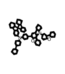 c1ccc(-c2ccc(N(c3ccc(-c4cc5c6ccccc6n(-c6ccc7oc8ccccc8c7c6)c5c5c4oc4ccccc45)cc3)c3ccc4c(c3)C3(c5ccccc5-c5ccccc53)c3ccccc3-4)cc2)cc1